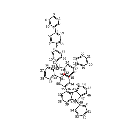 c1ccc(-c2ccc(-c3ccc(N(c4cccc(-c5ccccc5)c4)c4ccccc4-c4cccc(-c5cccc6c5c5ccccc5n6-c5ccccc5)c4)cc3)cc2)cc1